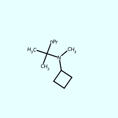 CCCC(C)(C)N(C)C1CCC1